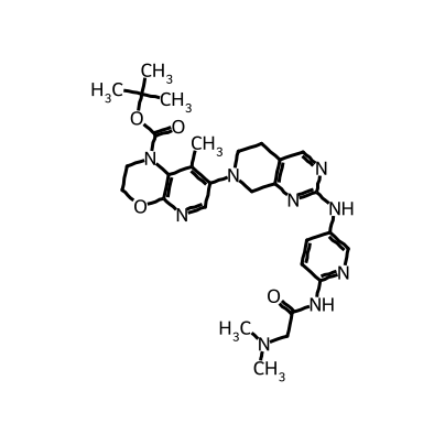 Cc1c(N2CCc3cnc(Nc4ccc(NC(=O)CN(C)C)nc4)nc3C2)cnc2c1N(C(=O)OC(C)(C)C)CCO2